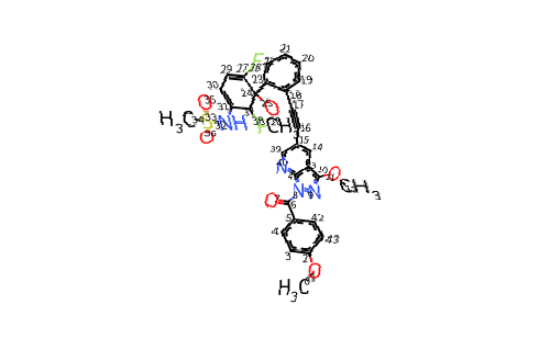 COc1ccc(C(=O)n2nc(OC)c3cc(C#Cc4ccccc4C4(OC)C(F)=CC=C(NS(C)(=O)=O)C4F)cnc32)cc1